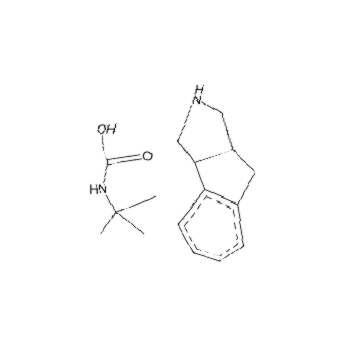 CC(C)(C)NC(=O)O.c1ccc2c(c1)CC1CNCC21